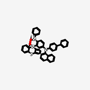 c1ccc(-c2ccc(N(c3ccc4c(c3)[Si]3(c5ccccc5Sc5ccccc53)c3ccccc3[SiH]4c3ccccc3)c3cccc4ccccc34)cc2)cc1